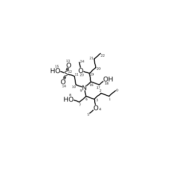 CCCC(OC)C(CO)N(CCS(=O)(=O)O)C(CO)C(CCC)OC